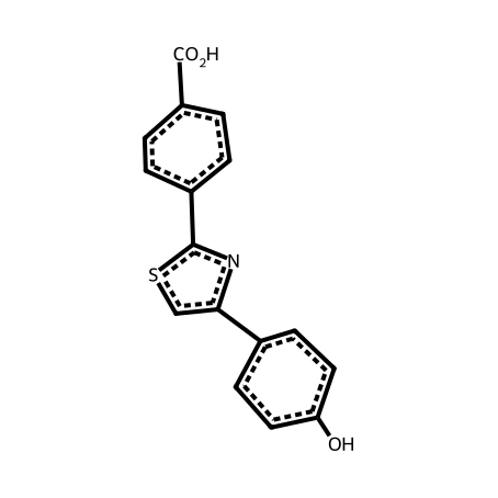 O=C(O)c1ccc(-c2nc(-c3ccc(O)cc3)cs2)cc1